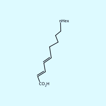 CCCCCCCCCCC=C/C=C/C(=O)O